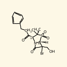 CC1(C)[C@H](C(=O)OCc2ccccc2)N2C(=O)C(Br)(CO)[C@H]2S1(=O)=O